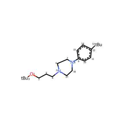 CC(C)(C)OCCCN1CCN(c2ccc(C(C)(C)C)cc2)CC1